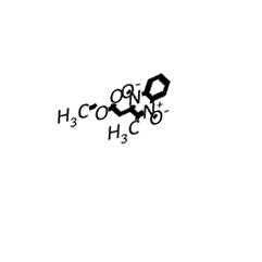 CCOC(=O)Cc1c(C)[n+]([O-])c2ccccc2[n+]1[O-]